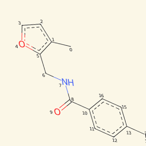 Cc1ccoc1CNC(=O)c1ccc(C(C)C)cc1